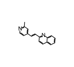 Cc1cc(/C=C/c2ccc3ccccc3n2)ccn1